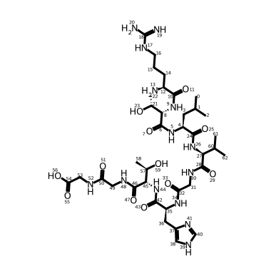 CC(C)C[C@H](NC(=O)[C@@H](NC(=O)[C@@H](N)CCCNC(=N)N)[C@@H](C)O)C(=O)N[C@H](C(=O)NCC(=O)N[C@@H](Cc1c[nH]cn1)C(=O)N[C@H](C(=O)NCC(=O)NCC(=O)O)[C@@H](C)O)C(C)C